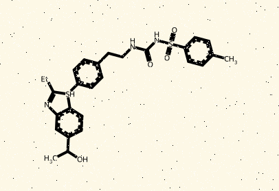 CCC1=Nc2cc(C(C)O)ccc2[SH]1c1ccc(CCNC(=O)NS(=O)(=O)c2ccc(C)cc2)cc1